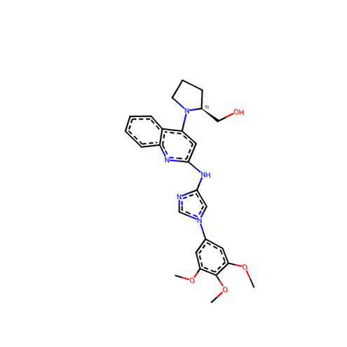 COc1cc(-n2cnc(Nc3cc(N4CCC[C@H]4CO)c4ccccc4n3)c2)cc(OC)c1OC